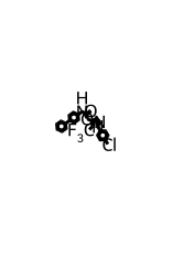 O=C(Nc1ccc(-c2ccccc2)cc1)Oc1cnn(-c2ccc(Cl)cc2)c1C(F)(F)F